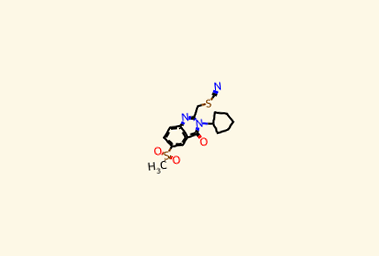 CS(=O)(=O)c1ccc2nc(CSC#N)n(C3CCCCC3)c(=O)c2c1